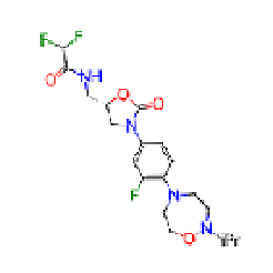 CC(C)N1CCN(c2ccc(N3C[C@H](CNC(=O)C(F)F)OC3=O)cc2F)CCO1